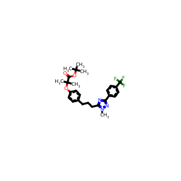 Cn1nc(-c2ccc(C(F)(F)F)cc2)nc1CCCc1ccc(OC(C)(C)C(=O)OC(C)(C)C)cc1